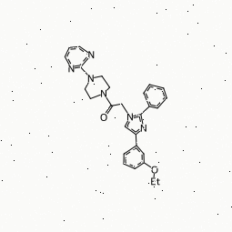 CCOc1cccc(-c2cn(CC(=O)N3CCN(c4ncccn4)CC3)c(-c3ccccc3)n2)c1